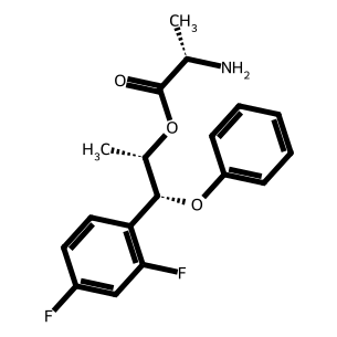 C[C@H](N)C(=O)O[C@@H](C)[C@H](Oc1ccccc1)c1ccc(F)cc1F